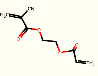 C=CC(=O)OCCOC(=O)C(=C)C#N